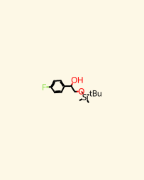 CC(C)(C)[Si](C)(C)OCC(O)c1ccc(F)cc1